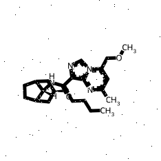 CCCCO[C@H]1CC2CCC(C1)[C@@H]2NC(=O)c1ncn2c(COC)cc(C)nc12